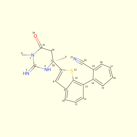 CN1C(=N)N[C@](C)(c2cc3cccc(-c4ccccc4C#N)c3s2)CC1=O